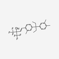 CCC(CC)(c1ccc(C)c(C)c1)c1ccc(/C=C/C(O)(C(F)(F)F)C(F)(F)F)c(C)c1